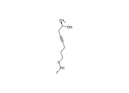 C[C@@H](O)CC#CCCCOPI